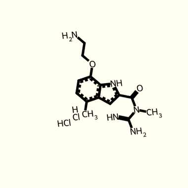 Cc1ccc(OCCN)c2[nH]c(C(=O)N(C)C(=N)N)cc12.Cl.Cl